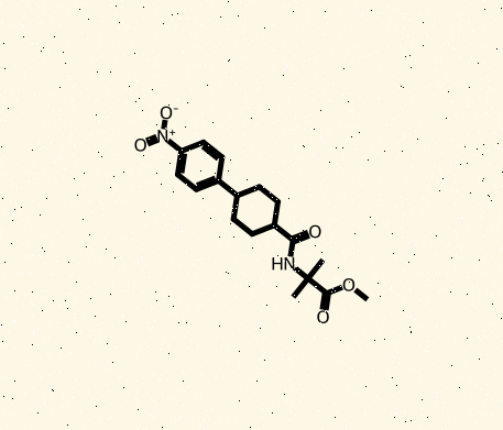 COC(=O)C(C)(C)NC(=O)C1CCC(c2ccc([N+](=O)[O-])cc2)CC1